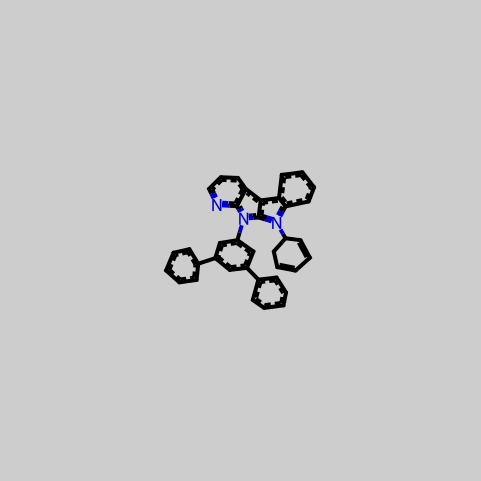 C1=CCC(n2c3ccccc3c3c4cccnc4n(-c4cc(-c5ccccc5)cc(-c5ccccc5)c4)c32)C=C1